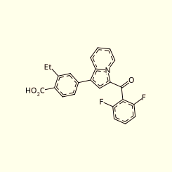 CCc1cc(-c2cc(C(=O)c3c(F)cccc3F)n3ccccc23)ccc1C(=O)O